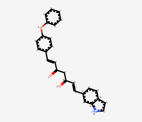 O=C(/C=C/c1ccc(Oc2ccccc2)cc1)CC(=O)/C=C/c1ccc2cc[nH]c2c1